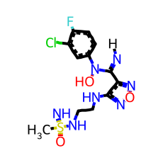 [H]/N=C(/c1nonc1NCCNS(C)(=N)=O)N(O)c1ccc(F)c(Cl)c1